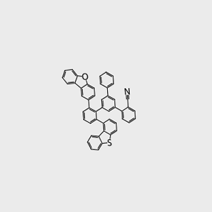 N#Cc1ccccc1-c1cc(-c2ccccc2)cc(-c2c(-c3ccc4oc5ccccc5c4c3)cccc2-c2cccc3sc4ccccc4c23)c1